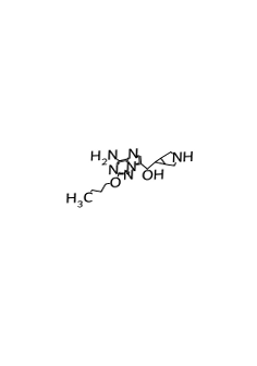 CCCCOc1nc(N)c2ncc(C(O)C3C4CNCC43)n2n1